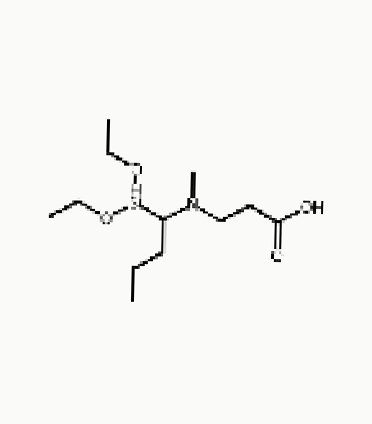 CCCC(N(C)CCC(=O)O)[SiH](OCC)OCC